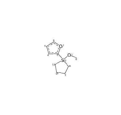 CO[Si]1(c2ccco2)CCCC1